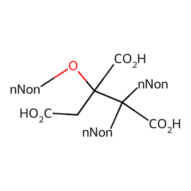 CCCCCCCCCOC(CC(=O)O)(C(=O)O)C(CCCCCCCCC)(CCCCCCCCC)C(=O)O